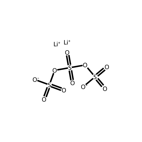 O=S(=O)([O-])OS(=O)(=O)OS(=O)(=O)[O-].[Li+].[Li+]